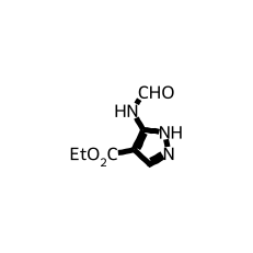 CCOC(=O)c1cn[nH]c1NC=O